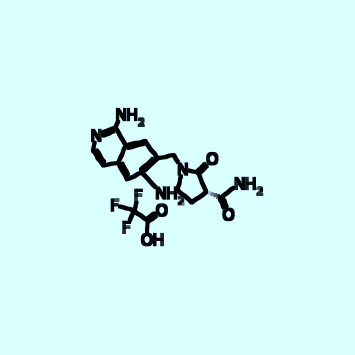 NC(=O)[C@@H]1CCN(Cc2cc3c(N)nccc3cc2N)C1=O.O=C(O)C(F)(F)F